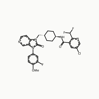 COc1ccc(-n2c(=O)n(C[C@H]3CC[C@H](NC(=O)c4cc(Cl)cnc4C(F)F)CC3)c3ccncc32)cc1F